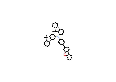 CC1(C)c2ccccc2-c2cc(N(c3ccc(-c4ccc5c(c4)oc4ccccc45)cc3)c3cccc4c3C(C)(C)c3ccccc3-4)ccc21